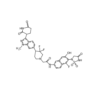 Cn1nc(C2CCC(=O)NC2=O)c2ccc(C3CCN(CC(=O)Nc4ccc5c(F)c(N6CC(=O)NS6(=O)=O)c(O)cc5c4)CC3(F)F)cc21